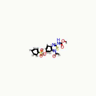 COC(=O)NC1=Nc2ccc(OS(=O)(=O)c3ccccc3)cc2N(C(C)=O)S1